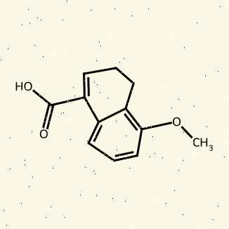 COc1cccc2c1CCC=C2C(=O)O